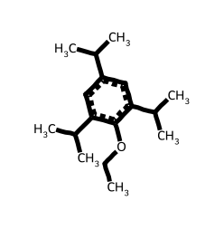 CCOc1c(C(C)C)cc(C(C)C)cc1C(C)C